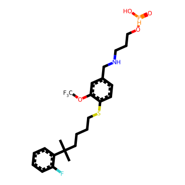 CC(C)(CCCCSc1ccc(CNCCCO[PH](=O)O)cc1OC(F)(F)F)c1ccccc1F